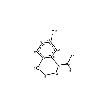 CC(C)[C@H]1CCOc2ccc(F)cc21